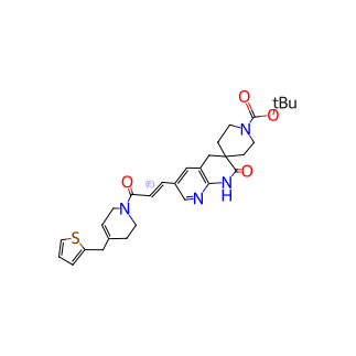 CC(C)(C)OC(=O)N1CCC2(CC1)Cc1cc(/C=C/C(=O)N3CC=C(Cc4cccs4)CC3)cnc1NC2=O